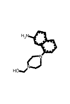 Nc1ccc2cccc(N3CCN(CO)CC3)c2c1